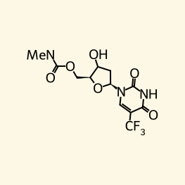 CNC(=O)OC[C@@H]1O[C@H](n2cc(C(F)(F)F)c(=O)[nH]c2=O)CC1O